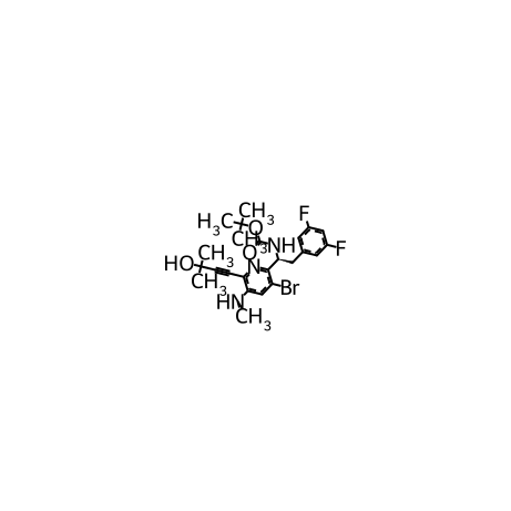 CNc1cc(Br)c([C@H](Cc2cc(F)cc(F)c2)NC(=O)OC(C)(C)C)nc1C#CC(C)(C)O